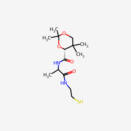 CC(NC(=O)[C@@H]1OC(C)(C)OCC1(C)C)C(=O)NCCS